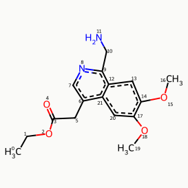 CCOC(=O)Cc1cnc(CN)c2cc(OC)c(OC)cc12